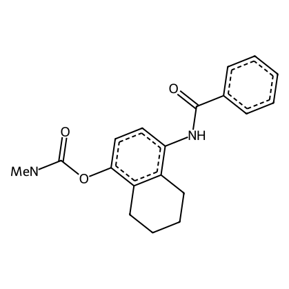 CNC(=O)Oc1ccc(NC(=O)c2ccccc2)c2c1CCCC2